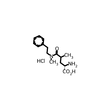 CC(C[C@H](N)C(=O)O)C(=O)N(C)CCc1ccccc1.Cl